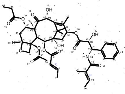 C/C=C/C(=O)O[C@H]1C2[C@](C)(C(=O)[C@H](O)C3=C(C)[C@@H](OC(=O)[C@H](O)[C@@H](NC(=O)/C(C)=C/C)c4ccccc4)C[C@]1(O)C3(C)C)[C@@H](OC(=O)CC)C[C@H]1OC[C@@]21OC(C)=O